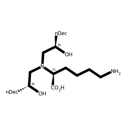 CCCCCCCCCC[C@@H](O)CN(C[C@H](O)CCCCCCCCCC)[C@@H](CCCCN)C(=O)O